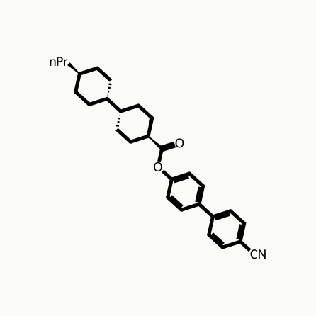 CCC[C@H]1CC[C@H]([C@H]2CC[C@H](C(=O)Oc3ccc(-c4ccc(C#N)cc4)cc3)CC2)CC1